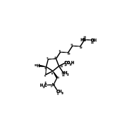 CN(C)C[C@@]12C[C@@H]1CC(CCCCBO)C2(N)C(=O)O